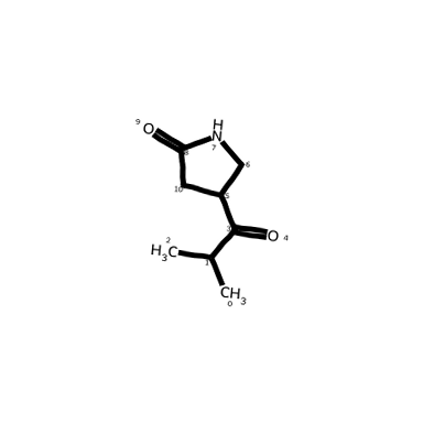 CC(C)C(=O)C1CNC(=O)C1